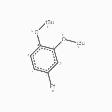 CCc1ccc(OC(C)(C)C)c(OC(C)(C)C)c1